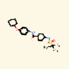 CC(C)(C)S(=O)(=O)NC1CCC(C(=O)Nc2ccc(OC3CCCCC3)cc2)CC1